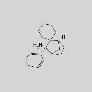 N[C@@]1(c2ccccc2)C2CC[C@@H](C2)C12CCCCC2